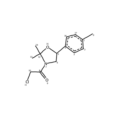 Cc1ccc(C2CN(C(=O)CCl)C(C)(C)O2)cc1